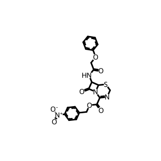 O=C(COc1ccccc1)NC1C(=O)N2C(C(=O)OCc3ccc([N+](=O)[O-])cc3)=NCSC12